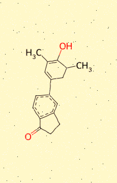 CC1=C(O)C(C)CC(c2ccc3c(c2)CCC3=O)=C1